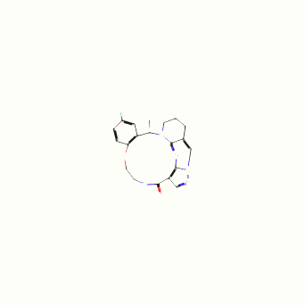 C[C@@H]1c2cc(F)ccc2O[C@@H](C)CNC(=O)c2cnn3cc4c(nc23)N1CCC4